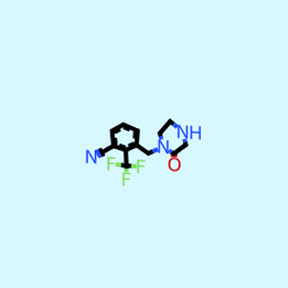 N#Cc1cccc(CN2CCNCC2=O)c1C(F)(F)F